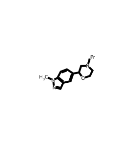 CC(C)N1CCOC(c2ccc3c(cnn3C)c2)C1